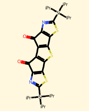 CC(C)[Si](c1nc2c(=O)c3c(sc4c5sc([Si](C(C)C)(C(C)C)C(C)C)nc5c(=O)c43)c2s1)(C(C)C)C(C)C